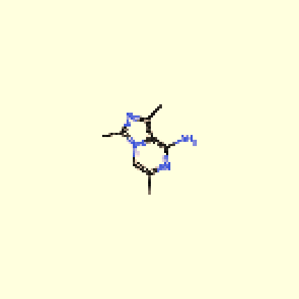 Cc1cn2c(C)nc(C)c2c(N)n1